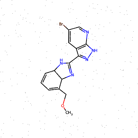 COCC1=CC=CC2NC(c3n[nH]c4ncc(Br)cc34)=NC12